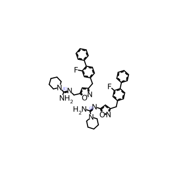 N/C(=N/c1cc(Cc2ccc(-c3ccccc3)c(F)c2)no1)N1CCCCC1.N/C(=N\Cc1cc(Cc2ccc(-c3ccccc3)c(F)c2)no1)N1CCCCC1